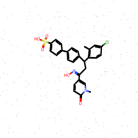 Cc1cc(Cl)ccc1C(CC(=NO)c1ccc(=O)n(C)c1)c1ccc(-c2ccc(S(=O)(=O)O)cc2)cc1